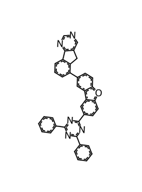 c1ccc(-c2nc(-c3ccccc3)nc(-c3ccc4oc5ccc(-c6cccc7c6Cc6cncnc6-7)cc5c4c3)n2)cc1